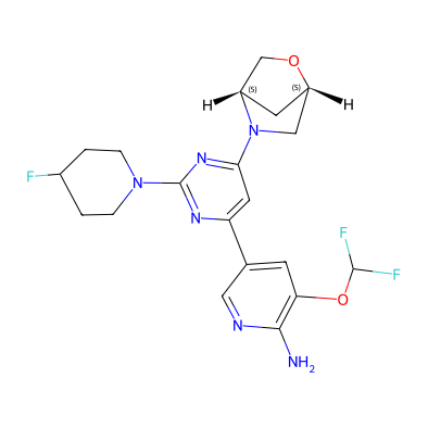 Nc1ncc(-c2cc(N3C[C@@H]4C[C@H]3CO4)nc(N3CCC(F)CC3)n2)cc1OC(F)F